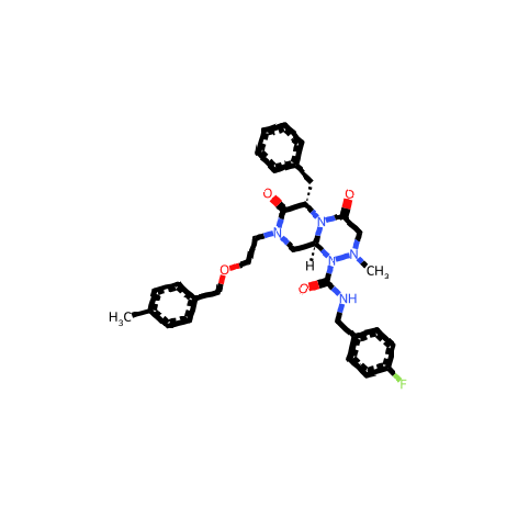 Cc1ccc(COCCN2C[C@H]3N(C(=O)CN(C)N3C(=O)NCc3ccc(F)cc3)[C@@H](Cc3ccccc3)C2=O)cc1